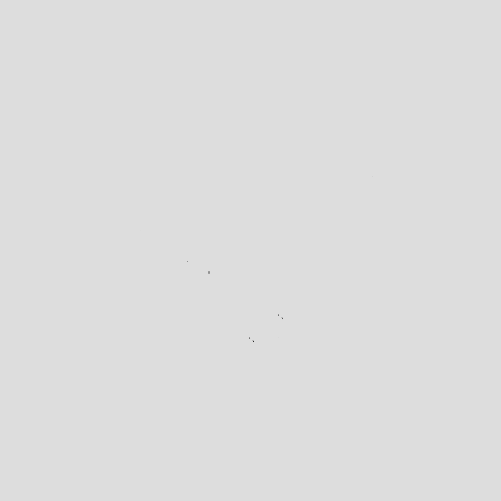 Cc1ccc(C(=O)O)c(C)c1.Cc1sc(-c2cnc3ccccn23)cc1OCc1ccccc1C(F)(F)F